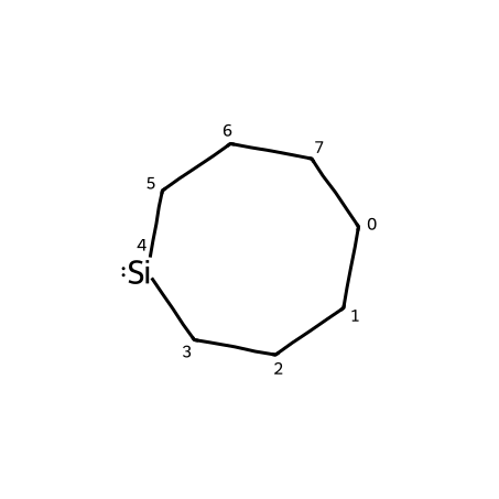 C1CCC[Si]CCC1